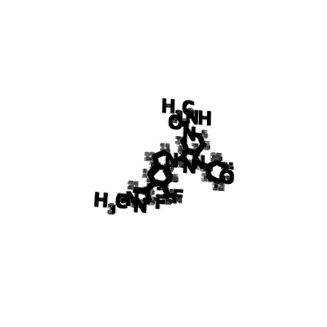 CNC(=O)N1CCc2c(c(N3CCc4cc(-c5cnn(C)c5)c(C(F)F)cc43)nn2C2CCOCC2)C1